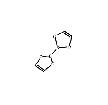 C1=COB(B2OC=CO2)O1